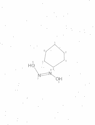 C1CCCCC1.ON=NO